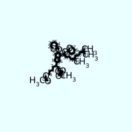 CC(=O)OCCCCC(COS(C)(=O)=O)C1=CC2C(C1)C[C@H](OC1CCCCO1)[C@H]2C(=CCC[C@H](C)CCC=C(C)C)OC1CCCCO1